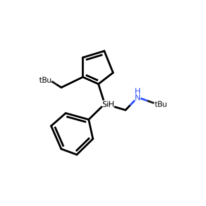 CC(C)(C)CC1=C([SiH](CNC(C)(C)C)c2ccccc2)CC=C1